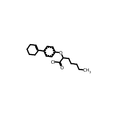 CCCCCC(Oc1ccc(C2=CCCCC2)cc1)C(=O)Cl